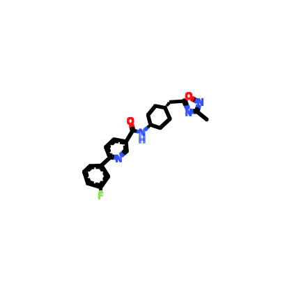 Cc1noc(C[C@H]2CC[C@H](NC(=O)c3ccc(-c4cccc(F)c4)nc3)CC2)n1